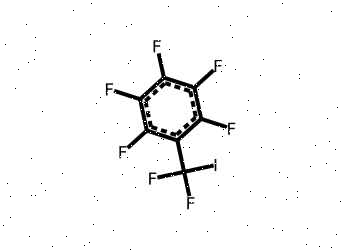 Fc1c(F)c(F)c(C(F)(F)I)c(F)c1F